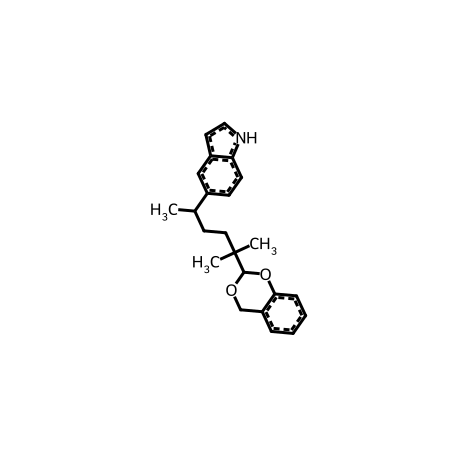 CC(CCC(C)(C)C1OCc2ccccc2O1)c1ccc2[nH]ccc2c1